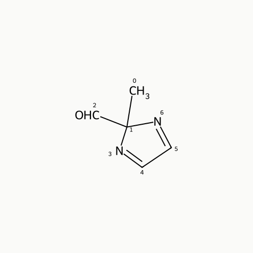 CC1(C=O)N=CC=N1